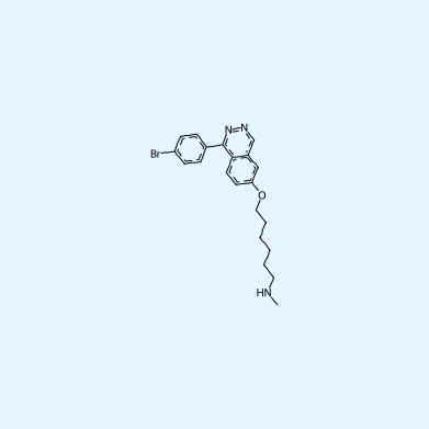 CNCCCCCCOc1ccc2c(-c3ccc(Br)cc3)nncc2c1